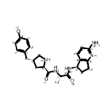 C[C@H](NC(=O)[C@H]1C[C@H](Cc2ccc(Cl)cc2)CN1)C(=O)N[C@@H]1CCc2nc(N)ccc21